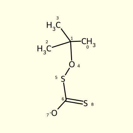 CC(C)(C)OSC([O])=S